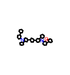 c1ccc(-c2cccc(-n3c4ccccc4c4cc(-c5ccc(-c6ccc7c(c6)c6ccccc6n7-c6cccc7c6oc6ccccc67)cc5)ccc43)c2)cc1